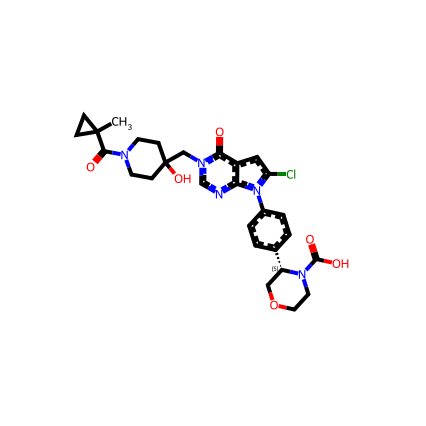 CC1(C(=O)N2CCC(O)(Cn3cnc4c(cc(Cl)n4-c4ccc([C@H]5COCCN5C(=O)O)cc4)c3=O)CC2)CC1